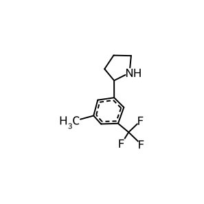 Cc1cc(C2CCCN2)cc(C(F)(F)F)c1